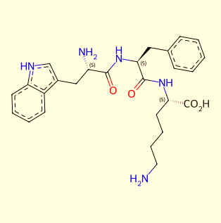 NCCCC[C@H](NC(=O)[C@H](Cc1ccccc1)NC(=O)[C@@H](N)Cc1c[nH]c2ccccc12)C(=O)O